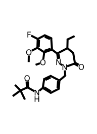 CCC1CC(=O)N(Cc2ccc(NC(=O)C(C)(C)C)cc2)N=C1c1ccc(F)c(OC)c1OC